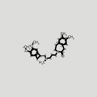 COc1cc2c(cc1OC)[C@@H](CN(C)CCCN1CCc3cc(C)c(C)cc3CC1=O)C2